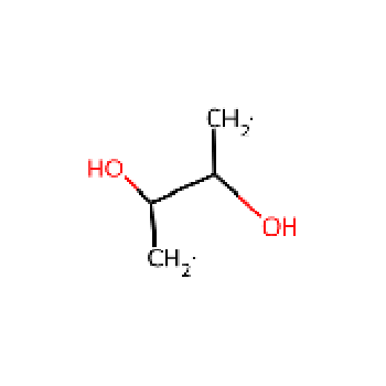 [CH2]C(O)C([CH2])O